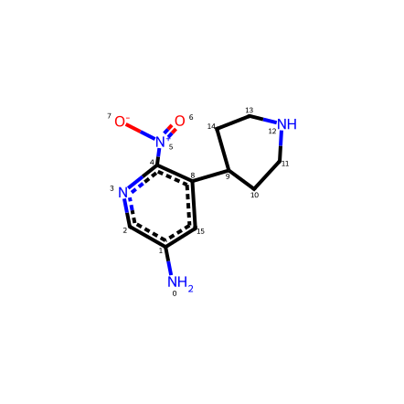 Nc1cnc([N+](=O)[O-])c(C2CCNCC2)c1